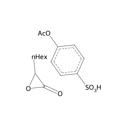 CC(=O)Oc1ccc(S(=O)(=O)O)cc1.CCCCCCC1OC1=O